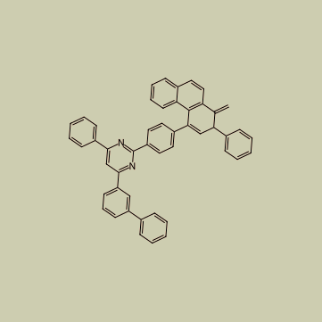 C=C1c2ccc3ccccc3c2C(c2ccc(-c3nc(-c4ccccc4)cc(-c4cccc(-c5ccccc5)c4)n3)cc2)=CC1c1ccccc1